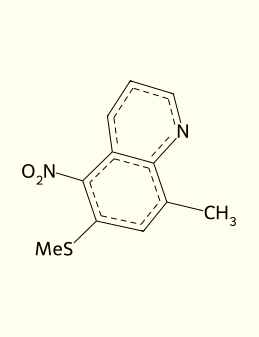 CSc1cc(C)c2ncccc2c1[N+](=O)[O-]